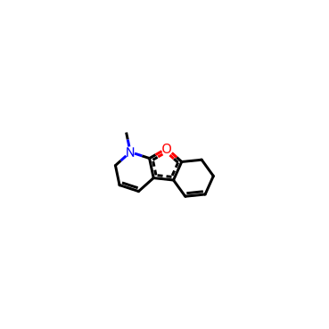 CN1CC=Cc2c1oc1c2C=CCC1